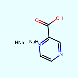 O=C(O)c1cnccn1.[NaH].[NaH]